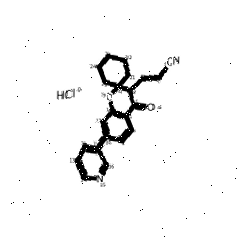 Cl.N#CCCC1C(=O)c2ccc(-c3cccnc3)cc2OC12CCCCC2